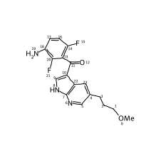 COCCCc1cnc2[nH]cc(C(=O)c3c(F)ccc(N)c3F)c2c1